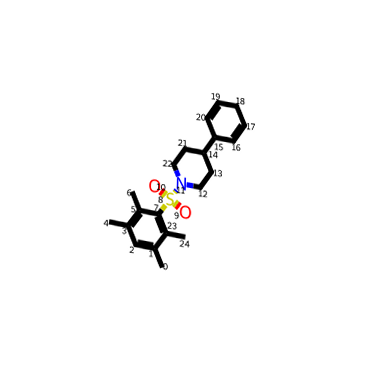 Cc1cc(C)c(C)c(S(=O)(=O)N2CCC(C3C=CCC=C3)CC2)c1C